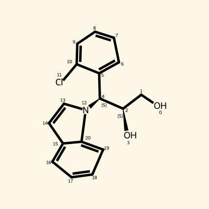 OC[C@@H](O)[C@H](c1ccccc1Cl)n1ccc2ccccc21